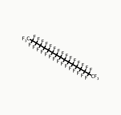 FC(F)(F)C(F)(F)C(F)(F)C(F)(F)C(F)(F)C(F)(F)C(F)(F)C(F)(F)C(F)(F)C(F)(F)C(F)(F)C(F)(F)C(F)(F)C(F)(F)C(F)(F)C(F)(F)C(F)(F)F